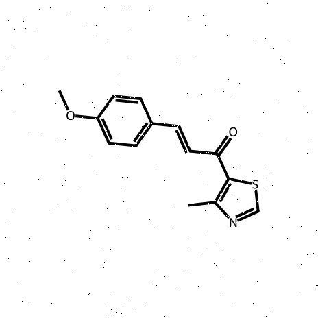 COc1ccc(/C=C/C(=O)c2scnc2C)cc1